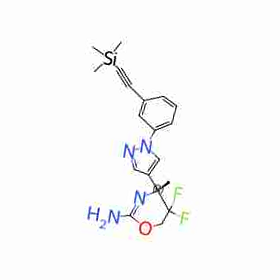 C[C@]1(c2cnn(-c3cccc(C#C[Si](C)(C)C)c3)c2)N=C(N)OCC1(F)F